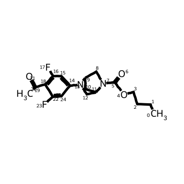 CCCCOC(=O)N1CC2CC1CN2c1cc(F)c(C(C)=O)c(F)c1